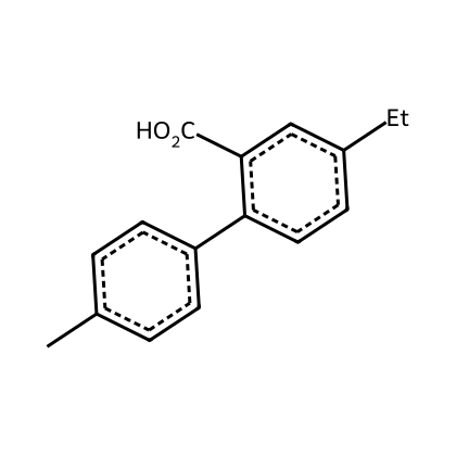 CCc1ccc(-c2ccc(C)cc2)c(C(=O)O)c1